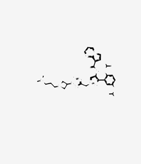 CN(C)CCCN1CC(n2nnc(Cn3cc(NC(=O)c4ccn5cccnc45)c(-c4cc(OC(F)F)ccc4OC(F)F)n3)n2)C1